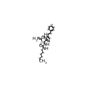 CCCCCCNC(=O)N[C@H](CC(N)=O)c1ncc(CCc2ccccc2)[nH]1